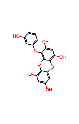 Oc1cccc(Oc2c(O)cc(O)c3c2Oc2c(O)cc(O)cc2O3)c1